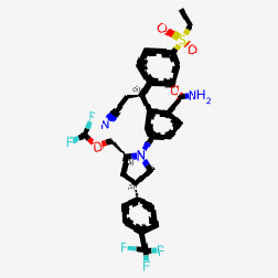 CCS(=O)(=O)c1ccc([C@H](CC#N)c2cc(N3C[C@H](c4ccc(C(F)(F)F)cc4)C[C@H]3COC(F)F)ccc2C(N)=O)cc1